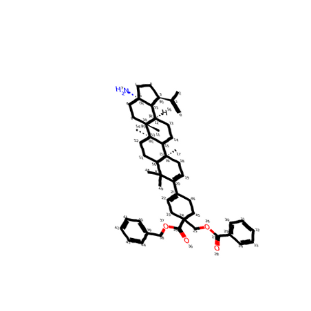 C=C(C)[C@@H]1CC[C@]2(N)CC[C@]3(C)[C@H](CCC4[C@@]5(C)CC=C(C6=CCC(COC(=O)c7ccccc7)(C(=O)OCc7ccccc7)CC6)C(C)(C)C5CC[C@]43C)C12